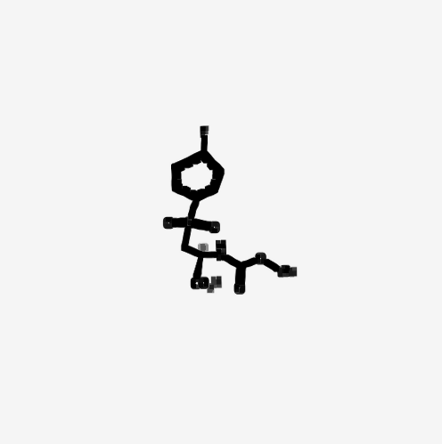 CC(C)(C)OC(=O)N[C@H](CS(=O)(=O)c1ccc(F)cc1)C(=O)O